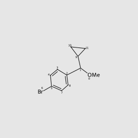 COC(c1ccc(Br)cc1)C1CC1